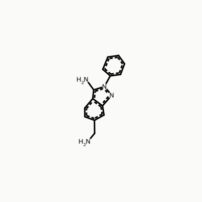 NCc1ccc2c(N)n(-c3ccccc3)nc2c1